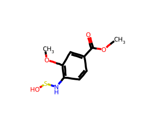 COC(=O)c1ccc(NSO)c(OC)c1